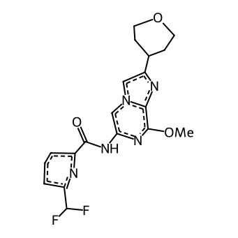 COc1nc(NC(=O)c2cccc(C(F)F)n2)cn2cc(C3CCOCC3)nc12